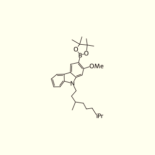 COc1cc2c(cc1B1OC(C)(C)C(C)(C)O1)c1ccccc1n2CCC(C)CCCC(C)C